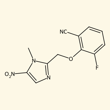 Cn1c([N+](=O)[O-])cnc1COc1c(F)cccc1C#N